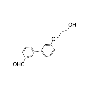 O=Cc1cccc(-c2cccc(OCCCO)c2)c1